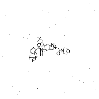 CC(C)(C)COc1cc2nn(CC(=O)N3CCOCC3)cc2cc1NC(=O)c1cccc(C(F)(F)F)n1